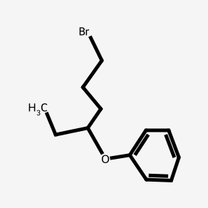 CCC(CCCBr)Oc1ccccc1